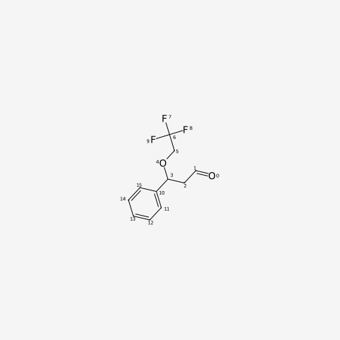 O=CCC(OCC(F)(F)F)c1ccccc1